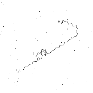 CCCCC/C=C\C/C=C\CCCCCCCCCCCCOC[C@H](COCCCCCCCC)N(C)C